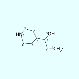 [CH2]CC(O)C1CCNCC1